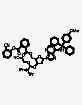 COc1ccc(C(Nc2ncnc3c2ncn3[C@H]2CC(OP(OCCC#N)N(C(C)C)C(C)C)[C@@H](COC(=O)c3ccccc3C(=O)Oc3ccccc3C#N)O2)(c2ccccc2)c2ccccc2)cc1